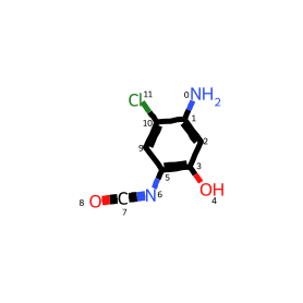 Nc1cc(O)c(N=C=O)cc1Cl